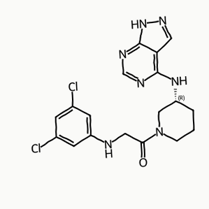 O=C(CNc1cc(Cl)cc(Cl)c1)N1CCC[C@@H](Nc2ncnc3[nH]ncc23)C1